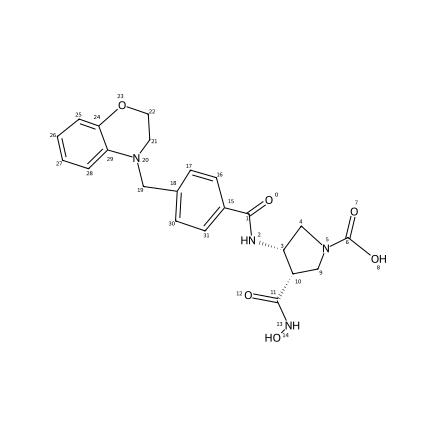 O=C(N[C@@H]1CN(C(=O)O)C[C@@H]1C(=O)NO)c1ccc(CN2CCOc3ccccc32)cc1